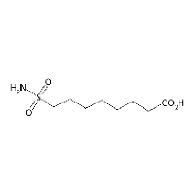 NS(=O)(=O)CCCCCCCC(=O)O